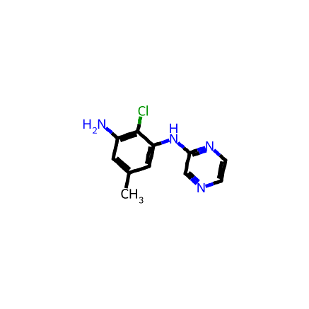 Cc1cc(N)c(Cl)c(Nc2cnccn2)c1